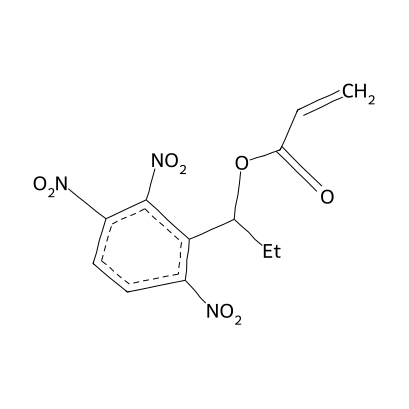 C=CC(=O)OC(CC)c1c([N+](=O)[O-])ccc([N+](=O)[O-])c1[N+](=O)[O-]